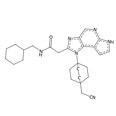 N#CCC12CCC(n3c(CC(=O)NCC4CCCCC4)nc4cnc5[nH]ccc5c43)(CC1)CC2